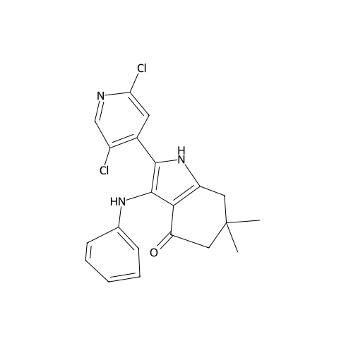 CC1(C)CC(=O)c2c([nH]c(-c3cc(Cl)ncc3Cl)c2Nc2ccccc2)C1